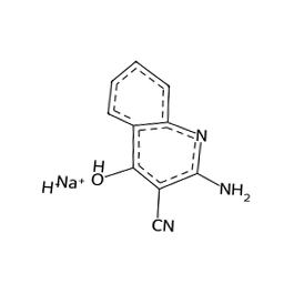 N#Cc1c(N)nc2ccccc2c1O.[H-].[Na+]